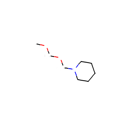 [SiH3]O[SiH2]O[SiH2]N1CCCCC1